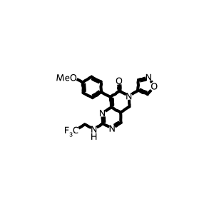 COc1ccc(C2=C3N=C(NCC(F)(F)F)N=CC3CN(c3cnoc3)C2=O)cc1